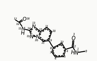 CNC(=O)c1cccc(-c2ccc3nc(NC(C)=O)nn3c2)c1